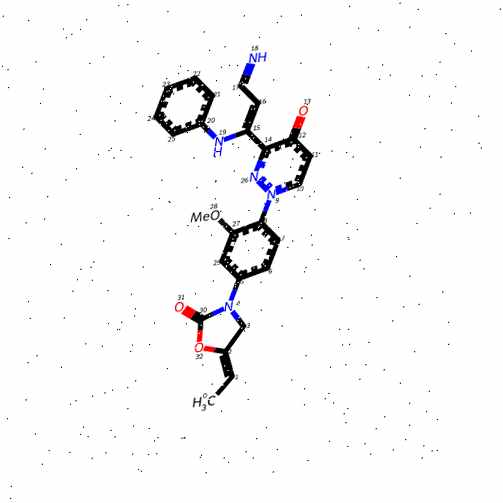 C/C=C1/CN(c2ccc(-n3ccc(=O)c(/C(=C/C=N)Nc4ccccc4)n3)c(OC)c2)C(=O)O1